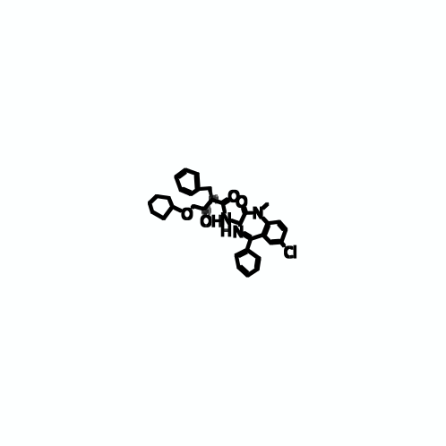 CN1C(=O)C(NC(=O)[C@H](Cc2ccccc2)[C@H](O)COC2CCCCC2)N=C(c2ccccc2)c2cc(Cl)ccc21